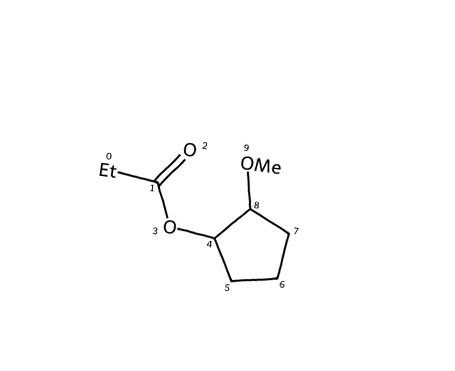 CCC(=O)OC1CCCC1OC